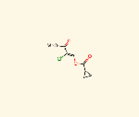 COC(=O)C(Cl)=COC(=O)C1CC1